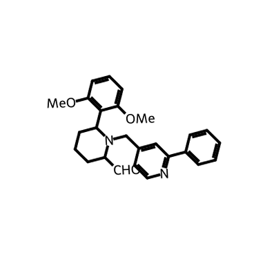 COc1cccc(OC)c1C1CCCC(C=O)N1Cc1ccnc(-c2ccccc2)c1